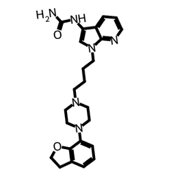 NC(=O)Nc1cn(CCCCN2CCN(c3cccc4c3OCC4)CC2)c2ncccc12